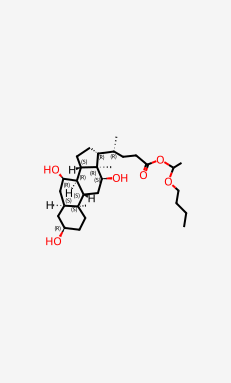 CCCCOC(C)OC(=O)CC[C@@H](C)[C@H]1CC[C@H]2[C@@H]3[C@H](O)C[C@@H]4C[C@H](O)CC[C@]4(C)[C@H]3C[C@H](O)[C@]12C